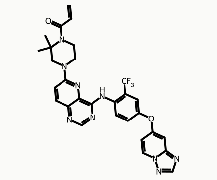 C=CC(=O)N1CCN(c2ccc3ncnc(Nc4ccc(Oc5ccn6ncnc6c5)cc4C(F)(F)F)c3n2)CC1(C)C